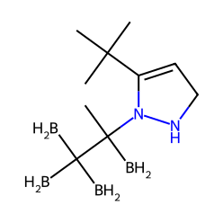 BC(B)(B)C(B)(C)N1NCC=C1C(C)(C)C